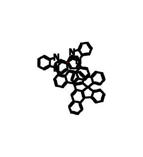 c1ccc(-c2nc3ccccc3n2-c2cccc3c(-c4cc5ccccc5c5c4C4(c6ccccc6-c6ccccc64)c4ccccc4-5)c4cccc(-n5c(-c6ccccc6)nc6ccccc65)c4cc23)cc1